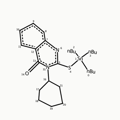 CCC[CH2][Sn]([CH2]CCC)([CH2]CCC)[S]c1nc2ccccc2c(=O)n1C1CCCCC1